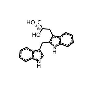 O=C(O)[C@H](O)Cc1c(Cc2c[nH]c3ccccc23)[nH]c2ccccc12